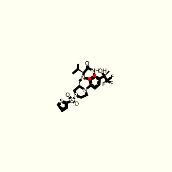 CC(C)[C@H]1C(=O)NCCN1C[C@H]1CN(S(=O)(=O)c2cccs2)CCN1c1ccc([C@](C)(O)C(F)(F)F)cc1